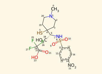 CN1CCC(S)([C@H](NS(=O)(=O)c2ccc([N+](=O)[O-])cc2)C(=O)O)CC1.O=C(O)C(F)(F)F